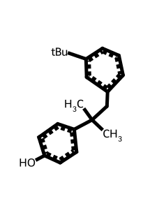 CC(C)(C)c1cccc(CC(C)(C)c2ccc(O)cc2)c1